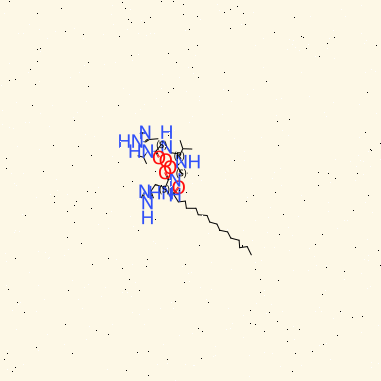 CCCCCCCCCCCCCCCC(=O)N[C@@H](Cc1c[nH]cn1)C(=O)N[C@@H](C)C(=O)N[C@@H](C(=O)N[C@@H](Cc1c[nH]cn1)C(=O)NC(C)C)C(C)C